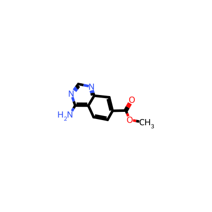 COC(=O)c1ccc2c(N)ncnc2c1